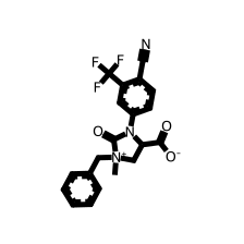 C[N+]1(Cc2ccccc2)CC(C(=O)[O-])N(c2ccc(C#N)c(C(F)(F)F)c2)C1=O